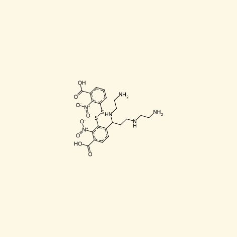 NCCNCCC(NCCN)c1ccc(C(=O)O)c([N+](=O)[O-])c1SSc1cccc(C(=O)O)c1[N+](=O)[O-]